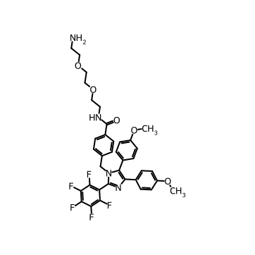 COc1ccc(-c2nc(-c3c(F)c(F)c(F)c(F)c3F)n(Cc3ccc(C(=O)NCCOCCOCCN)cc3)c2-c2ccc(OC)cc2)cc1